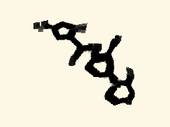 N#Cc1cc(N2CCOCC2=O)ccc1NC(=O)C1C[C@H](N)CN1